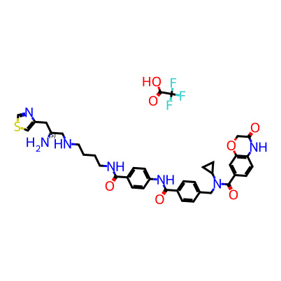 N[C@H](CNCCCCNC(=O)c1ccc(NC(=O)c2ccc(CN(C(=O)c3ccc4c(c3)OCC(=O)N4)C3CC3)cc2)cc1)Cc1cscn1.O=C(O)C(F)(F)F